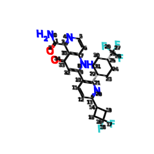 NC(=O)c1nccc2[nH]c(-c3ccc(C4CC(F)(F)C4)nc3[C@H]3CC[C@@H](C(F)(F)F)CC3)cc(=O)c12